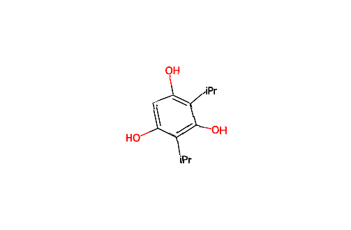 CC(C)c1c(O)cc(O)c(C(C)C)c1O